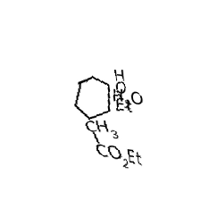 C1CCCCC1.CCO.CCOC(C)=O.O